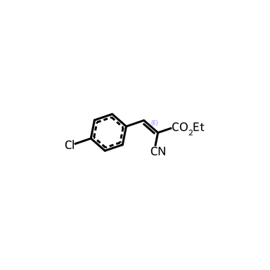 CCOC(=O)/C(C#N)=C/c1ccc(Cl)cc1